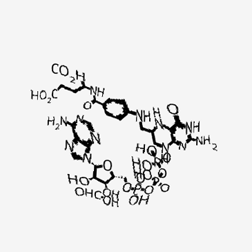 Nc1nc2c(c(=O)[nH]1)NC(CNc1ccc(C(=O)NC(CCC(=O)O)C(=O)O)cc1)CN2.Nc1ncnc2c1ncn2[C@@H]1O[C@H](COP(=O)(O)OP(=O)(O)OP(=O)(O)O)[C@@H](O)[C@H]1O.O=CO